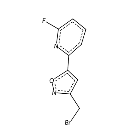 Fc1cccc(-c2cc(CBr)no2)n1